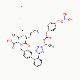 CCCCC(=O)N(Cc1ccc(-c2ccccc2-c2nnn(C(C)OC(=O)Oc3ccc(CON(O)O)cc3)n2)cc1)[C@H](C(=O)O)C(C)C